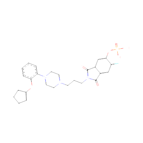 O=C1C2CC(F)C(OP(=O)(O)O)CC2C(=O)N1CCCN1CCN(c2ccccc2OC2CCCC2)CC1